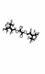 O=C(OCC(F)=C(C(F)(F)F)C(F)(F)F)C(=O)OCC(F)=C(C(F)(F)F)C(F)(F)F